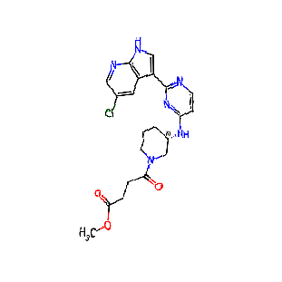 COC(=O)CCC(=O)N1CCC[C@H](Nc2ccnc(-c3c[nH]c4ncc(Cl)cc34)n2)C1